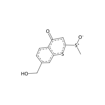 C[S+]([O-])c1cc(=O)c2ccc(CO)cc2s1